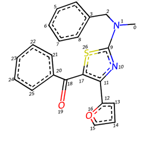 CN(Cc1ccccc1)c1nc(-c2ccco2)c(C(=O)c2ccccc2)s1